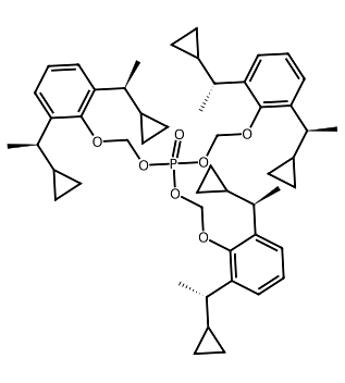 C[C@H](c1cccc([C@H](C)C2CC2)c1OCOP(=O)(OCOc1c([C@@H](C)C2CC2)cccc1[C@H](C)C1CC1)OCOc1c([C@@H](C)C2CC2)cccc1[C@H](C)C1CC1)C1CC1